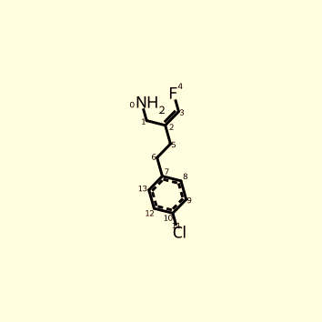 NC/C(=C\F)CCc1ccc(Cl)cc1